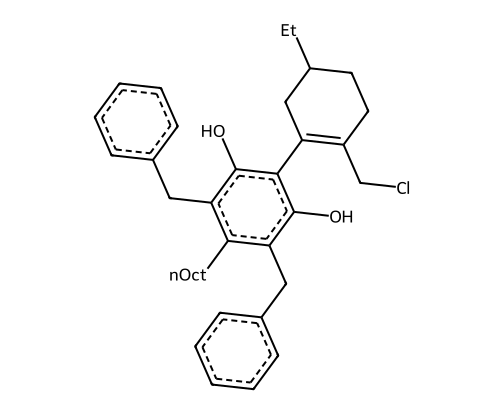 CCCCCCCCc1c(Cc2ccccc2)c(O)c(C2=C(CCl)CCC(CC)C2)c(O)c1Cc1ccccc1